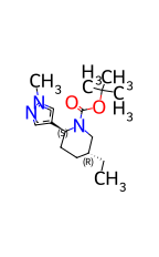 CC[C@@H]1CC[C@@H](c2cnn(C)c2)N(C(=O)OC(C)(C)C)C1